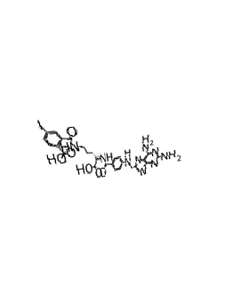 Nc1nc(N)c2nc(CNc3ccc(C(=O)N[C@@H](CCCNC(=O)c4cc(I)ccc4C(=O)O)C(=O)O)cc3)cnc2n1